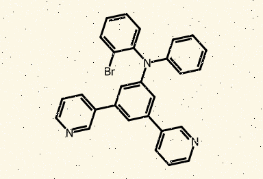 Brc1ccccc1N(c1ccccc1)c1cc(-c2cccnc2)cc(-c2cccnc2)c1